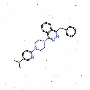 CC(C)c1ccc(N2CCN(c3nnc(Cc4ccccc4)c4ccccc34)CC2)nc1